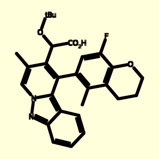 Cc1cn2nc3ccccc3c2c(-c2cc(F)c3c(c2C)CCCO3)c1C(OC(C)(C)C)C(=O)O